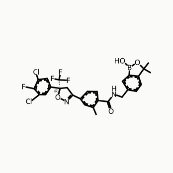 Cc1cc(C2=NO[C@](c3cc(Cl)c(F)c(Cl)c3)(C(F)(F)F)C2)ccc1C(=O)NCc1ccc2c(c1)B(O)OC2(C)C